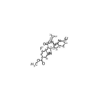 COC(=O)c1cc(F)c2c(C(=O)O)c(-c3cc4ccc(Cl)nc4n3CC3CC3)nn2c1